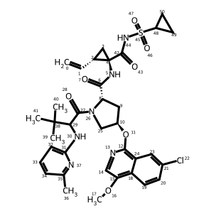 C=C[C@@H]1C[C@]1(NC(=O)[C@@H]1C[C@@H](Oc2ncc(OC)c3ccc(Cl)cc23)CN1C(=O)C(Nc1cccc(C)n1)C(C)(C)C)C(=O)NS(=O)(=O)C1CC1